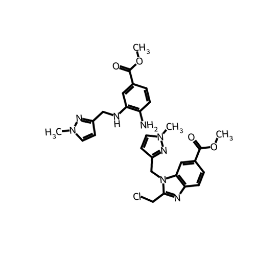 COC(=O)c1ccc(N)c(NCc2ccn(C)n2)c1.COC(=O)c1ccc2nc(CCl)n(Cc3ccn(C)n3)c2c1